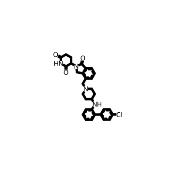 O=C1CCC(N2Cc3c(CN4CCC(Nc5ccccc5-c5ccc(Cl)cc5)CC4)cccc3C2=O)C(=O)N1